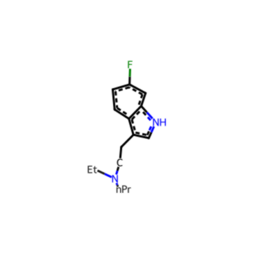 CCCN(CC)CCc1c[nH]c2cc(F)ccc12